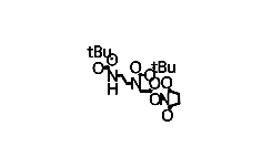 CC(C)(C)OC(=O)NCCN(CC(=O)ON1C(=O)CCC1=O)C(=O)OC(C)(C)C